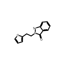 O=c1c2ccccc2[se]n1CCc1ccco1